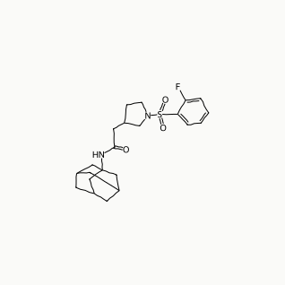 O=C(CC1CCN(S(=O)(=O)c2ccccc2F)C1)NC12CC3CC(CC(C3)C1)C2